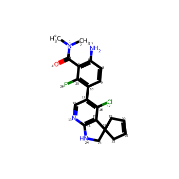 CN(C)C(=O)c1c(N)ccc(-c2cnc3c(c2Cl)C2(CC=CC2)CN3)c1F